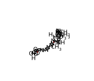 CC1=C(C(=O)Nc2ccc3[nH]nc(-c4ccnc(N5CCN(CCN6CCN(CC7CCN(c8ccc9c(c8)C(=O)N(C8CCC(=O)NC8=O)C9=O)CC7)CC6)[C@@H](C)C5)c4)c3c2)C(C)(C)n2nnnc2N1C